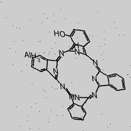 Oc1cccc2c3nc4nc(nc5[nH]c(nc6nc(nc([nH]3)c12)-c1ccccc1-6)c1ccccc51)-c1ccccc1-4.[AlH3]